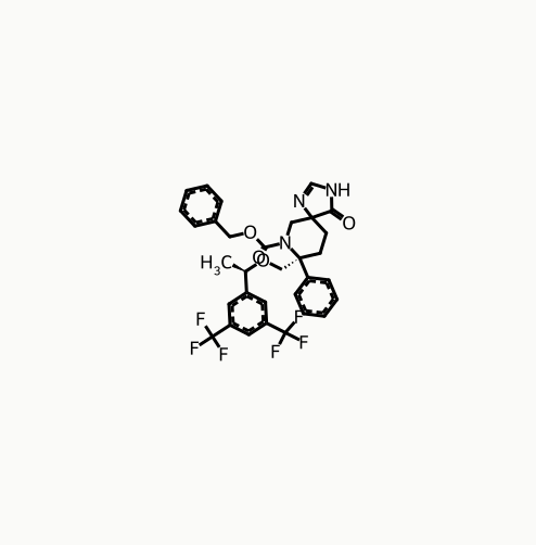 C[C@@H](OC[C@@]1(c2ccccc2)CCC2(CN1C(=O)OCc1ccccc1)N=CNC2=O)c1cc(C(F)(F)F)cc(C(F)(F)F)c1